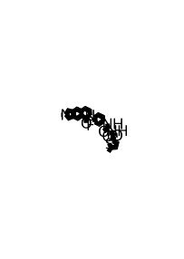 Cc1ccc(S(=O)(=O)NC(=O)Nc2ccc(-n3ccc4cc5c(cc4c3=O)CN(C)C5)c(F)c2)s1